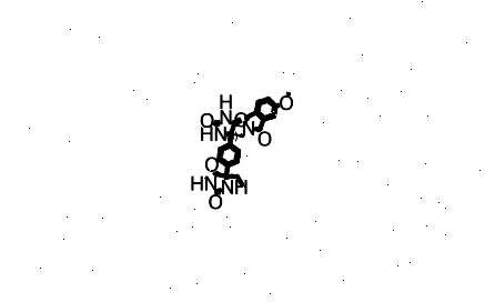 CCC1(c2ccc([C@]3(CN4Cc5ccc(OC)cc5C4=O)NC(=O)NC3=O)cc2)NC(=O)NC1=O